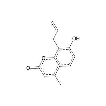 C=CCc1c(O)ccc2c(C)cc(=O)oc12